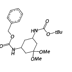 COC1(OC)CC(NC(=O)OCc2ccccc2)CC(NC(=O)OC(C)(C)C)C1